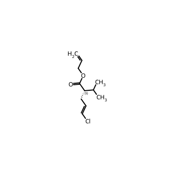 C=CCOC(=O)[C@@H](CC=CCl)C(C)C